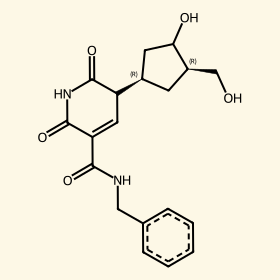 O=C(NCc1ccccc1)C1=CC([C@H]2CC(O)[C@@H](CO)C2)C(=O)NC1=O